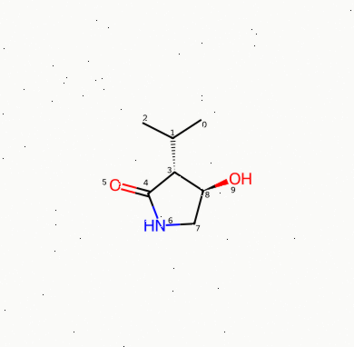 CC(C)[C@H]1C(=O)NC[C@@H]1O